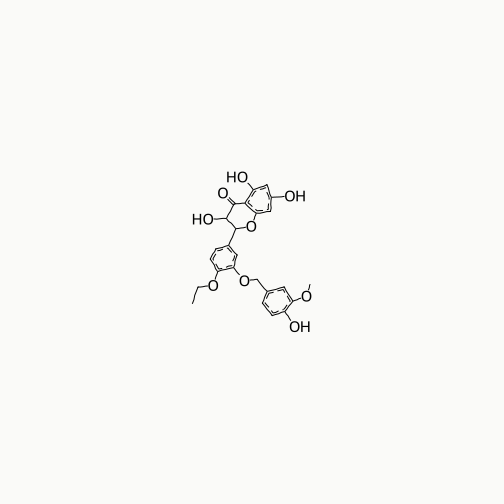 CCOc1ccc(C2Oc3cc(O)cc(O)c3C(=O)C2O)cc1OCc1ccc(O)c(OC)c1